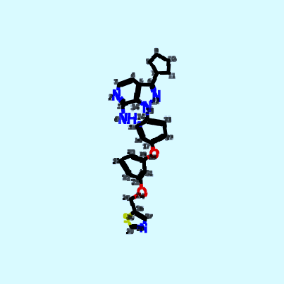 Nc1nccc2c(C3CCCC3)nn(-c3ccc(Oc4cccc(OCc5cncs5)c4)cc3)c12